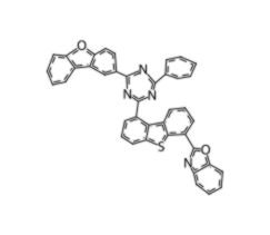 c1ccc(-c2nc(-c3ccc4oc5ccccc5c4c3)nc(-c3cccc4sc5c(-c6nc7ccccc7o6)cccc5c34)n2)cc1